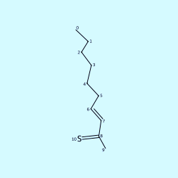 CCCCCCC=CC(C)=S